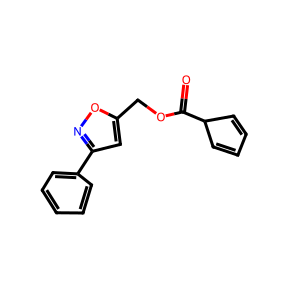 O=C(OCc1cc(-c2ccccc2)no1)C1C=CC=C1